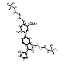 COc1cc(-c2ccc3c(-c4ncc[nH]4)nn(COCC[Si](C)(C)C)c3c2)c(C)cc1OCOCC[Si](C)(C)C